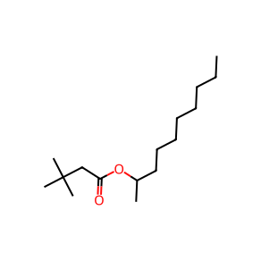 CCCCCCCCC(C)OC(=O)CC(C)(C)C